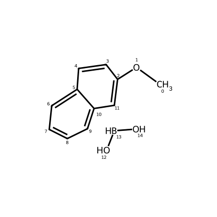 COc1ccc2ccccc2c1.OBO